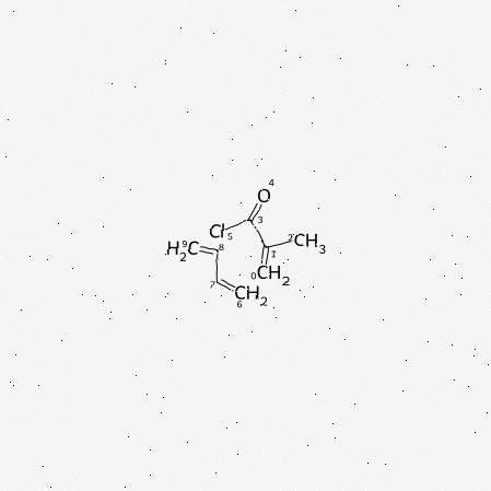 C=C(C)C(=O)Cl.C=CC=C